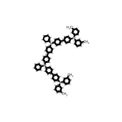 Cc1cccc(N(c2ccc(-c3ccc(N(C4=CC=CCC4)c4ccc(-c5ccc(N(c6ccccc6)c6ccc(-c7ccc(N(c8cccc(C)c8)c8cccc(C)c8)cc7)cc6)cc5)cc4)cc3)cc2)c2cccc(C)c2)c1